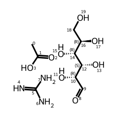 CC(=O)O.N=C(N)N.O=C[C@H](O)[C@@H](O)[C@H](O)[C@H](O)CO